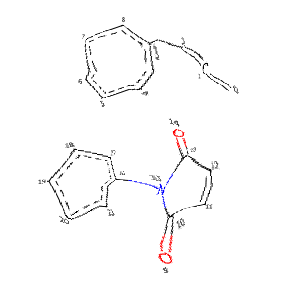 C=C=Cc1ccccc1.O=C1C=CC(=O)N1c1ccccc1